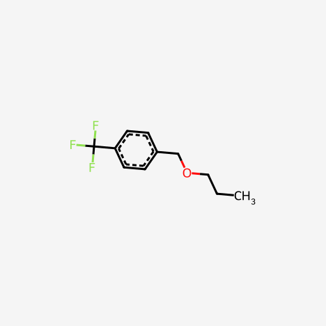 CCCOCc1ccc(C(F)(F)F)cc1